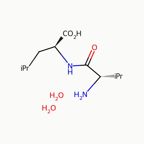 CC(C)C[C@H](NC(=O)[C@@H](N)C(C)C)C(=O)O.O.O